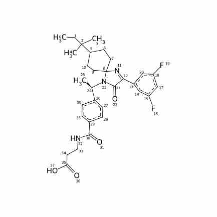 CCC(C)(C)C1CCC2(CC1)N=C(c1cc(F)cc(F)c1)C(=O)N2[C@H](C)c1ccc(C(=O)NCCC(=O)O)cc1